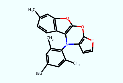 Cc1ccc2c3c(oc2c1)Oc1occc1N3c1c(C)cc(C(C)(C)C)cc1C